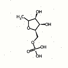 CC1O[C@H](COP(=O)(O)O)[C@H](O)[C@@H]1O